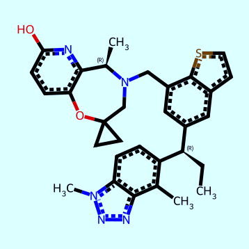 CC[C@H](c1cc(CN2CC3(CC3)Oc3ccc(O)nc3[C@H]2C)c2sccc2c1)c1ccc2c(nnn2C)c1C